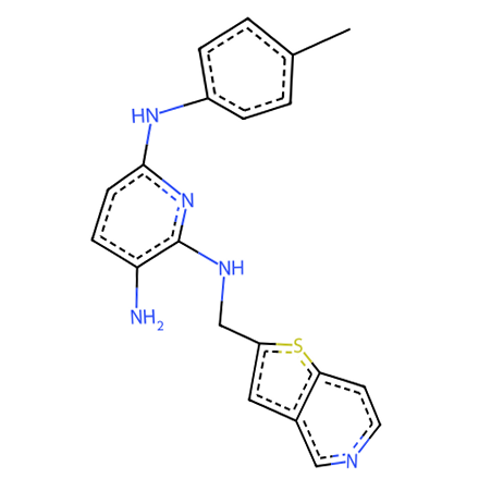 Cc1ccc(Nc2ccc(N)c(NCc3cc4cnccc4s3)n2)cc1